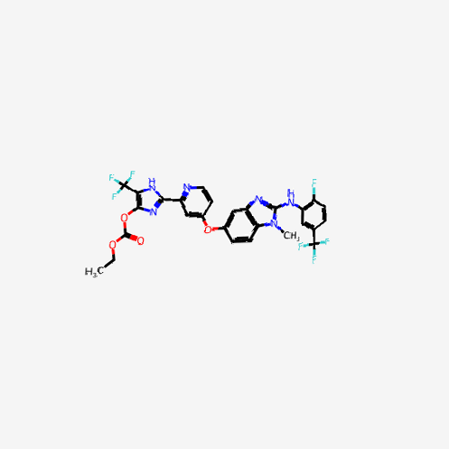 CCOC(=O)Oc1nc(-c2cc(Oc3ccc4c(c3)nc(Nc3cc(C(F)(F)F)ccc3F)n4C)ccn2)[nH]c1C(F)(F)F